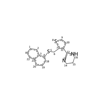 c1ccc2c(SCc3sccc3C3=NCCCN3)cccc2c1